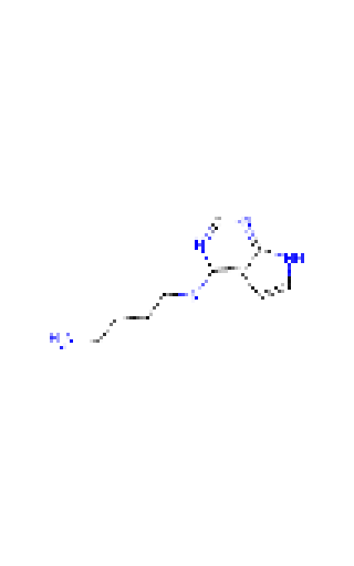 NCCCCNc1ncnc2[nH]c[c]c12